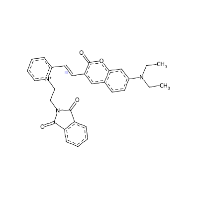 CCN(CC)c1ccc2cc(/C=C/c3cccc[n+]3CCN3C(=O)c4ccccc4C3=O)c(=O)oc2c1